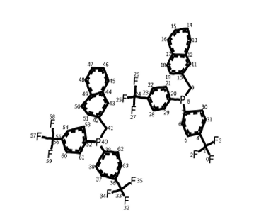 FC(F)(F)c1ccc(P(Cc2[c]c3ccccc3cc2)c2ccc(C(F)(F)F)cc2)cc1.FC(F)(F)c1ccc(P(Cc2[c]c3ccccc3cc2)c2ccc(C(F)(F)F)cc2)cc1